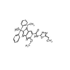 CCc1nnc(NC(=O)c2cc3c(nc2OC)nc(C(O)(c2ccccc2)c2ccccc2)n3CC)o1